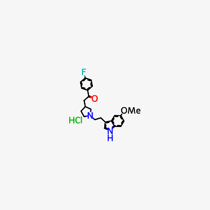 COc1ccc2[nH]cc(CCN3CCC(CC(=O)c4ccc(F)cc4)C3)c2c1.Cl